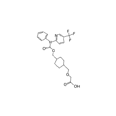 O=C(O)COCC1CCC(COC(=O)N(c2ccccc2)c2ccc(C(F)(F)F)cn2)CC1